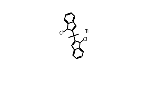 CC(C)(C1=Cc2ccccc2C1Cl)C1=Cc2ccccc2C1Cl.[Ti]